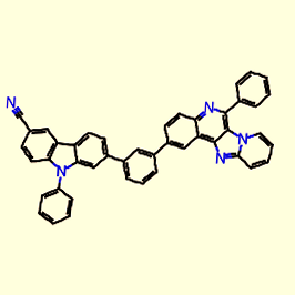 N#Cc1ccc2c(c1)c1ccc(-c3cccc(-c4ccc5nc(-c6ccccc6)c6c(nc7ccccn76)c5c4)c3)cc1n2-c1ccccc1